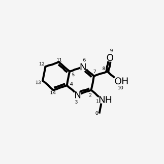 CNc1nc2c(nc1C(=O)O)=CCCC=2